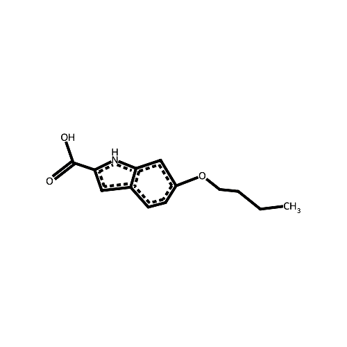 CCCCOc1ccc2cc(C(=O)O)[nH]c2c1